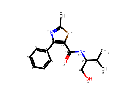 Cc1nc(-c2ccccc2)c(C(=O)NC(CO)C(C)C)s1